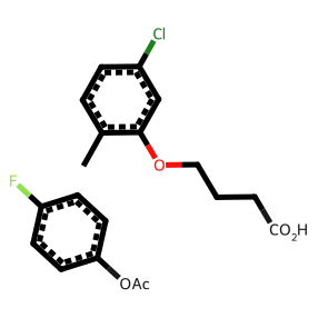 CC(=O)Oc1ccc(F)cc1.Cc1ccc(Cl)cc1OCCCC(=O)O